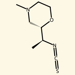 C[C@H](N=C=S)[C@@H]1CN(C)CCO1